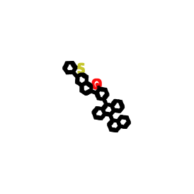 C1=CC2C=CC=C(c3c4ccccc4c(-c4ccc5oc6c7cc8sc9ccccc9c8cc7ccc6c5c4)c4ccccc34)C2C=C1